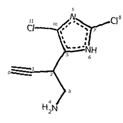 C#CC(CN)c1[nH]c(Cl)nc1Cl